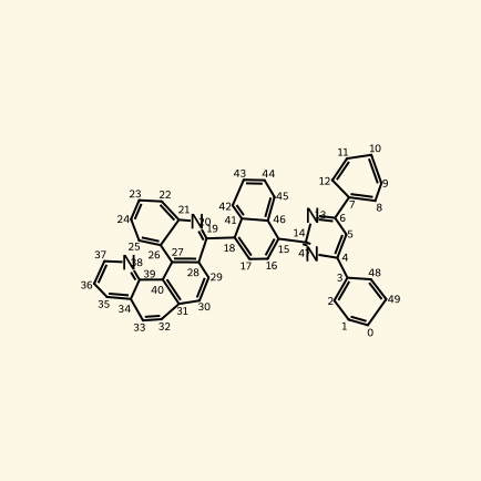 c1ccc(-c2cc(-c3ccccc3)nc(-c3ccc(-c4nc5ccccc5c5c4ccc4ccc6cccnc6c45)c4ccccc34)n2)cc1